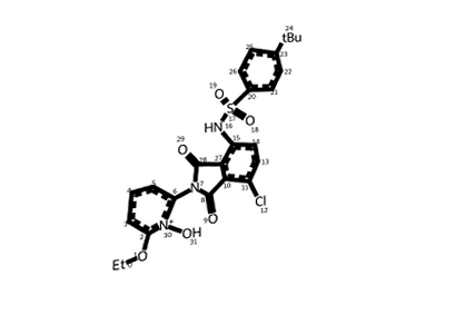 CCOc1cccc(N2C(=O)c3c(Cl)ccc(NS(=O)(=O)c4ccc(C(C)(C)C)cc4)c3C2=O)[n+]1O